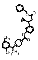 CC(c1cc(C(F)(F)F)ccc1C(F)(F)F)N1CCN(C(=O)Oc2cccc(C(CC(=O)OCc3ccccc3)C3CC3)c2)CC1